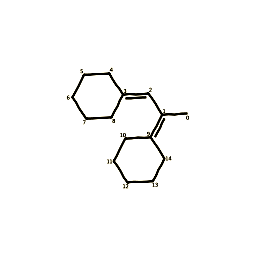 CC(C=C1CCCCC1)=C1CCCCC1